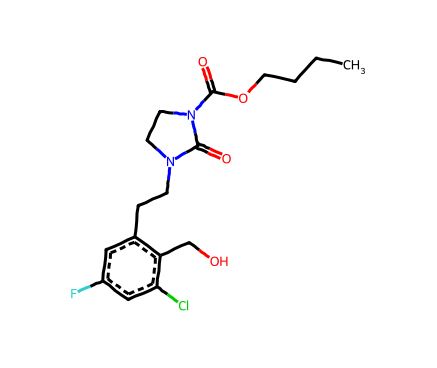 CCCCOC(=O)N1CCN(CCc2cc(F)cc(Cl)c2CO)C1=O